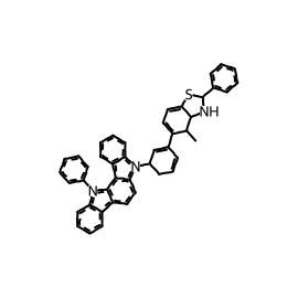 CC1C(C2=CC(n3c4ccccc4c4c5c(ccc43)c3ccccc3n5-c3ccccc3)CC=C2)=CC=C2SC(c3ccccc3)NC21